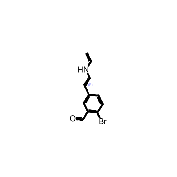 C=CN/C=C/c1ccc(Br)c(C=O)c1